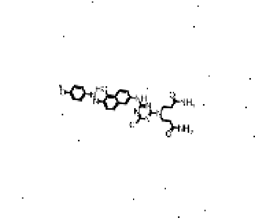 COc1ccc(N=Nc2ccc3cc(Nc4nc(Cl)nc(N(CCC(N)=O)CCC(N)=O)n4)ccc3c2O)cc1